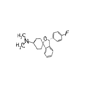 CN(C)C1CCC2(CC1)O[C@H](c1ccc(F)cc1)c1ccccc12